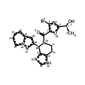 C[C@H](O)c1nc(Br)c(C(=O)N2CCc3[nH]cnc3[C@H]2c2cc3ccccn3n2)o1